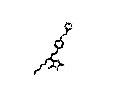 CCCCCCC(/C=C/c1ccc(OCc2nnn[nH]2)cc1)=C1SC(=S)NC1=O